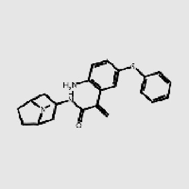 C=C(C(=O)NC1CC2CCC(C1)N2C)c1cc(Sc2ccccc2)ccc1N